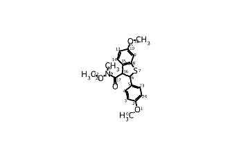 COc1ccc(C2Sc3cc(OC)ccc3C2C(=O)N(C)OC)cc1